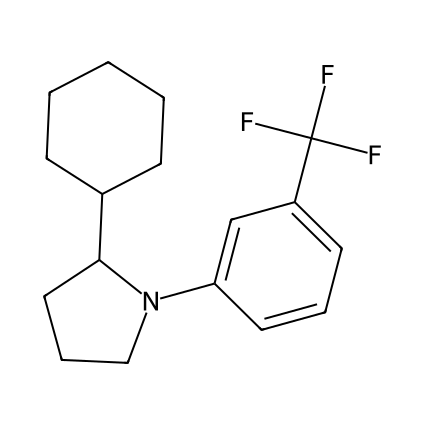 FC(F)(F)c1cccc(N2CCCC2C2CCCCC2)c1